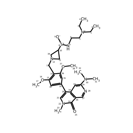 CCN(CC)CCN[S+]([O-])C1CN(Cc2c(OC)cc(-c3cn(C)c(=O)c4cnc(N(C)C)cc34)cc2OC)C1